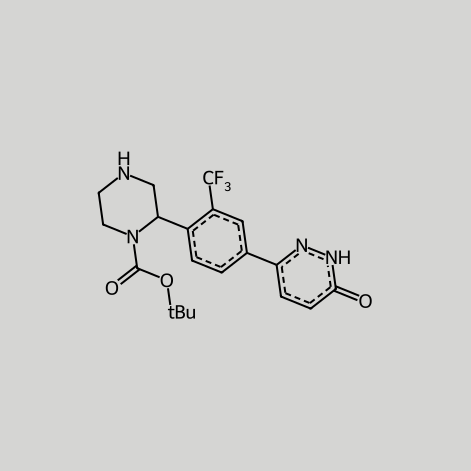 CC(C)(C)OC(=O)N1CCNCC1c1ccc(-c2ccc(=O)[nH]n2)cc1C(F)(F)F